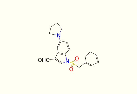 O=Cc1cn(S(=O)(=O)Cc2ccccc2)c2ccc(N3CCCC3)cc12